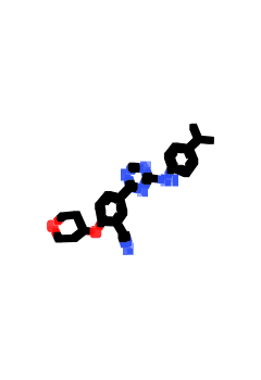 CC(C)c1ccc(Nc2ncnc(-c3ccc(OC4CCOCC4)c(C#N)c3)n2)cc1